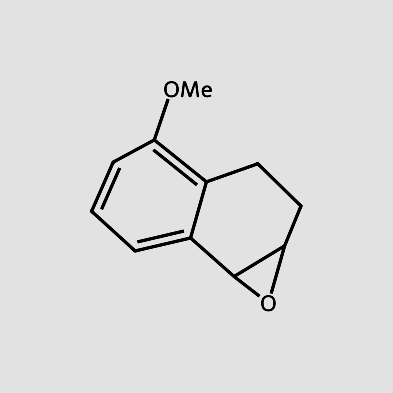 COc1cccc2c1CCC1OC21